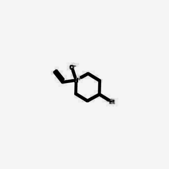 C=C[N+]1([O-])CCC(CC)CC1